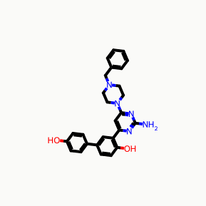 Nc1nc(-c2cc(-c3ccc(O)cc3)ccc2O)cc(N2CCN(Cc3ccccc3)CC2)n1